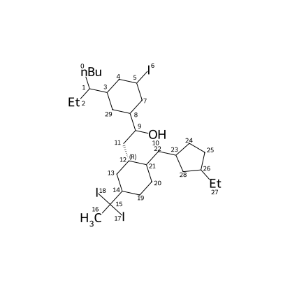 CCCCC(CC)C1CC(I)CC(C(O)C[C@H]2CC(C(C)(I)I)CCC2CC2CCC(CC)C2)C1